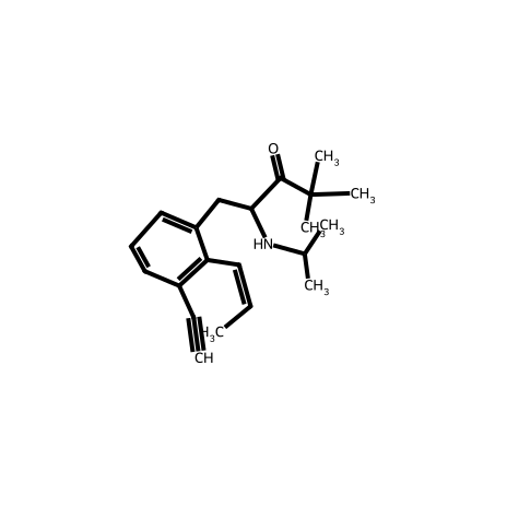 C#Cc1cccc(CC(NC(C)C)C(=O)C(C)(C)C)c1/C=C\C